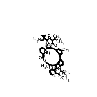 CCn1c(-c2cccnc2[C@H](C)OC)c2c3cc(ccc31)-c1cc(O)cc(c1)C[C@H](NC(=O)C(C(C)C)N(C)C(=O)C1(CN)CC1)C(=O)N1CCC[C@H](N1)C(=O)OCC(C)(C)C2